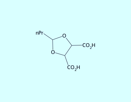 CCCC1OC(C(=O)O)C(C(=O)O)O1